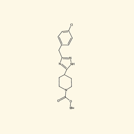 CC(C)(C)OC(=O)N1CCC(c2nc(Cc3ccc(Cl)cc3)n[nH]2)CC1